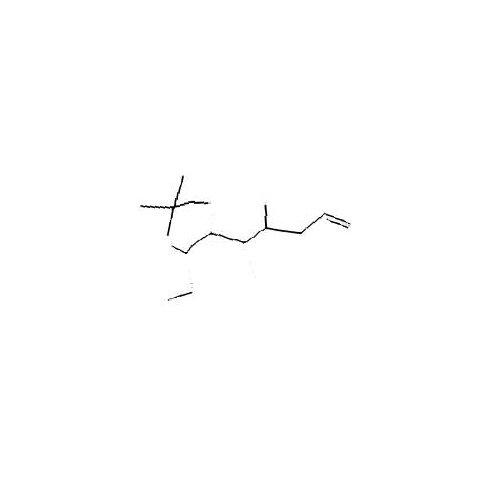 C=CCC(O)[C@H](C)[C@H]1OC(C)(C)O[C@H]1CO